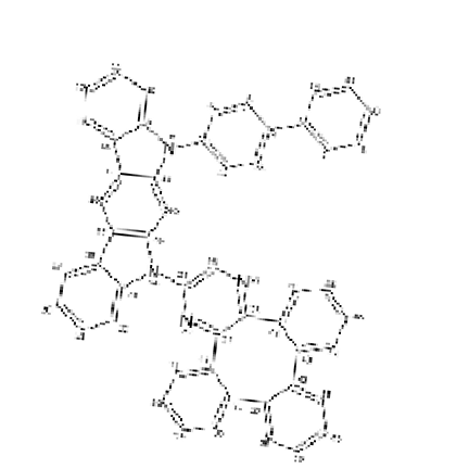 c1ccc(-c2ccc(-n3c4ccccc4c4cc5c6ccccc6n(-c6cnc7c(n6)-c6ccccc6-c6ccccc6-c6ccccc6-7)c5cc43)cc2)cc1